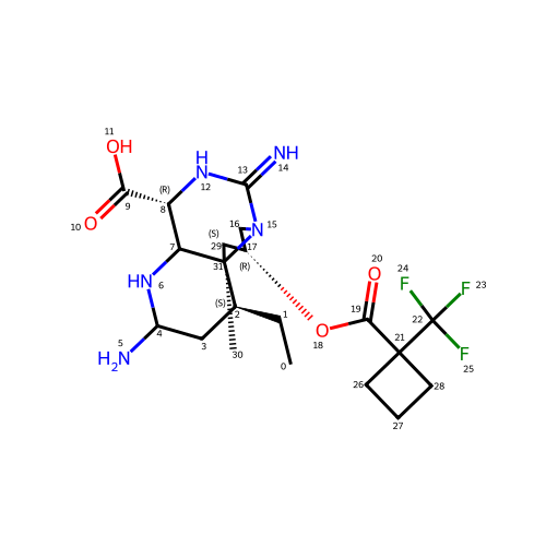 CC[C@H]1CC(N)NC2[C@H](C(=O)O)NC(=N)N3C[C@H](OC(=O)C4(C(F)(F)F)CCC4)[C@@H](C)C213